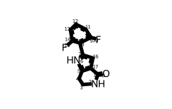 O=C1NCCc2[nH]c(-c3c(F)cccc3F)cc21